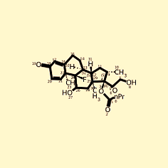 CCCC(=O)O[C@]1(C(=O)CO)[C@@H](C)C[C@H]2[C@@H]3CCC4=CC(=O)C=C[C@]4(C)[C@@]3(F)C(O)C[C@@]21C